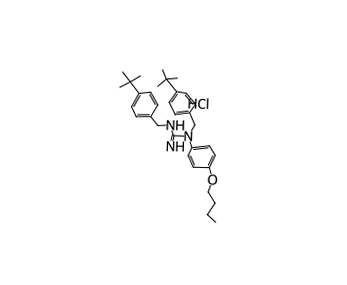 CCCCOc1ccc(N(Cc2ccc(C(C)(C)C)cc2)C(=N)NCc2ccc(C(C)(C)C)cc2)cc1.Cl